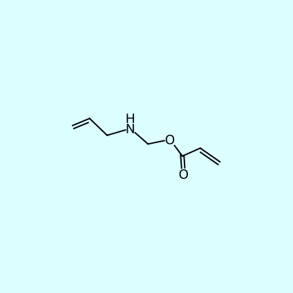 C=CCNCOC(=O)C=C